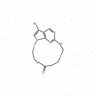 O=C1CCCCNc2ncc3c(Br)cn(c3n2)CCCN1